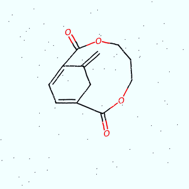 C=C1CC2=CC=C1C(=O)OCCCOC2=O